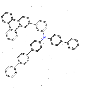 c1ccc(-c2ccc(-c3ccc(N(c4ccc(-c5ccccc5)cc4)c4cccc(-c5ccc6c7ccccc7c7ccccc7c6c5)c4)cc3)cc2)cc1